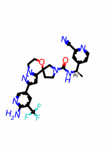 C[C@@H](NC(=O)N1CCC2(C1)OCCn1nc(-c3cnc(N)c(C(F)(F)F)c3)cc12)c1ccnc(C#N)c1